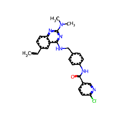 C=Cc1ccc2nc(N(C)C)nc(NCc3ccc(NC(=O)c4ccc(Cl)nc4)cc3)c2c1